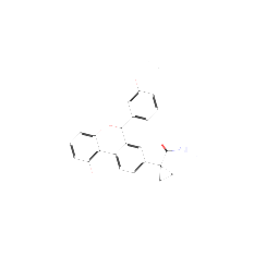 COc1cccc(C2Oc3cccc(OC)c3-c3ccc(C4(C(N)=O)CC4)cc32)c1